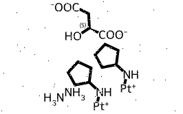 N.N.O=C([O-])C[C@H](O)C(=O)[O-].[Pt+][NH]C1CCCC1.[Pt+][NH]C1CCCC1